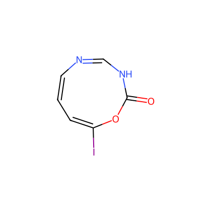 O=c1[nH]cncccc(I)o1